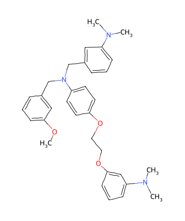 COc1cccc(CN(Cc2cccc(N(C)C)c2)c2ccc(OCCOc3cccc(N(C)C)c3)cc2)c1